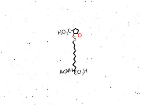 CC(=O)NC(CCCCCCCCCCSC[C@@H]1C(=O)CC[C@H]1C(=O)O)C(=O)O